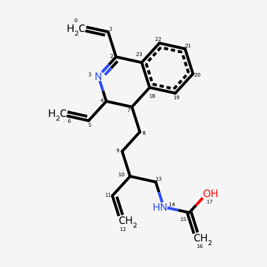 C=CC1=NC(C=C)C(CCC(C=C)CNC(=C)O)c2ccccc21